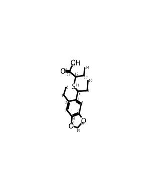 CCc1cc2c(cc1C(CC)SC(CC)C(=O)O)OCO2